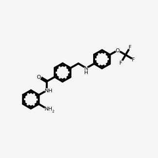 Nc1ccccc1NC(=O)c1ccc(CNc2ccc(OC(F)(F)F)cc2)cc1